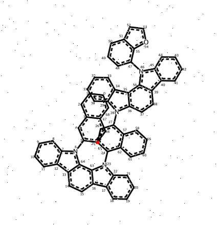 c1ccc2cc(-n3c4ccccc4c4ccc5c6ccccc6n(-c6ccc(-n7c8ccccc8c8c7ccc7c9ccccc9n(-c9cccc%10ccoc9%10)c78)c7ccccc67)c5c43)ccc2c1